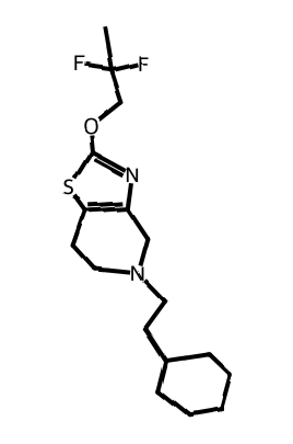 CC(F)(F)COc1nc2c(s1)CCN(CCC1CCCCC1)C2